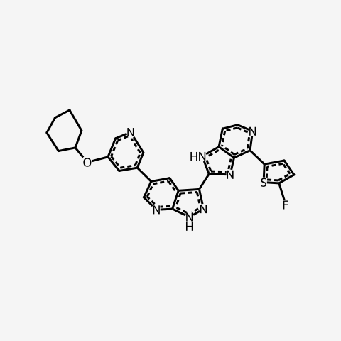 Fc1ccc(-c2nccc3[nH]c(-c4n[nH]c5ncc(-c6cncc(OC7CCCCC7)c6)cc45)nc23)s1